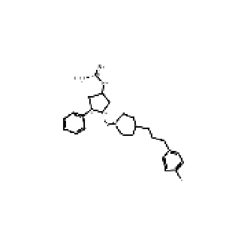 CC[C@H](C)[C@H](NC1C[C@H](CN2CCC(CCCc3ccc(F)cc3)CC2)[C@@H](c2ccccc2)C1)C(=O)O